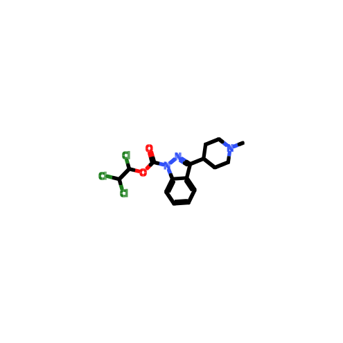 CN1CCC(c2nn(C(=O)OC(Cl)C(Cl)Cl)c3ccccc23)CC1